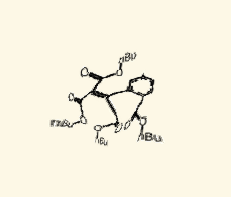 CCCCOC(=O)C(C(=O)OCCCC)=C(C(=O)OCCCC)c1ccccc1C(=O)OCCCC